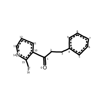 O=C(CCc1ccccc1)c1cccnc1F